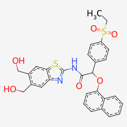 CCS(=O)(=O)c1ccc(C(Oc2cccc3ccccc23)C(=O)Nc2nc3cc(CO)c(CO)cc3s2)cc1